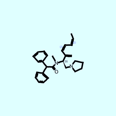 C=C(/C=C\C=C/C)[C@@H](CN1CCCC1)N(C)C(=O)C(c1ccccc1)c1ccccc1